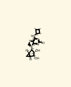 O[C@@H]1[C@H](O)[C@@H]2C[C@@H]2[C@H]1n1cnc2c(NC3CCC3)nc(Cl)nc21